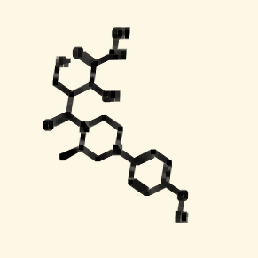 CCOc1ccc(N2CCN(C(=O)C(CC(C)C)C(O)C(=O)NO)[C@H](C)C2)cc1